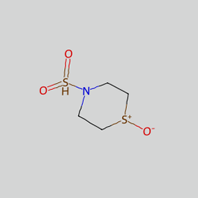 O=[SH](=O)N1CC[S+]([O-])CC1